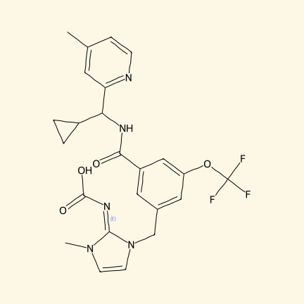 Cc1ccnc(C(NC(=O)c2cc(Cn3ccn(C)/c3=N\C(=O)O)cc(OC(F)(F)F)c2)C2CC2)c1